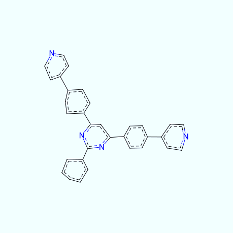 c1ccc(-c2nc(-c3ccc(-c4ccncc4)cc3)cc(-c3ccc(-c4ccncc4)cc3)n2)cc1